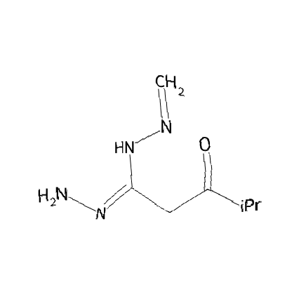 C=NN/C(CC(=O)C(C)C)=N\N